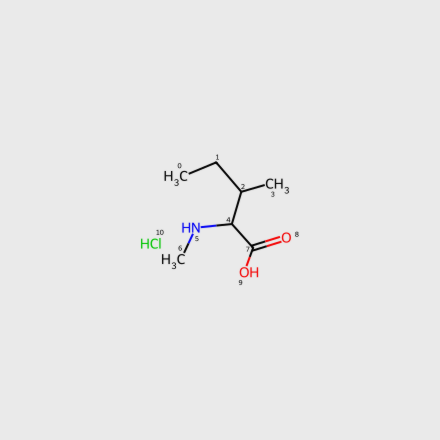 CCC(C)C(NC)C(=O)O.Cl